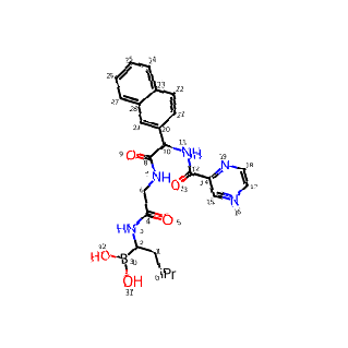 CC(C)CC(NC(=O)CNC(=O)C(NC(=O)c1cnccn1)c1ccc2ccccc2c1)B(O)O